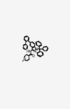 CN1CCC(C(=O)Nc2nn(C(c3ccccc3)(c3ccccc3)c3ccccc3)c3ccc(-c4ccccc4-c4ccccc4)cc23)CC1